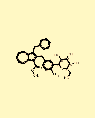 COC(=O)c1c2cccccc-2c(Cc2ccccc2)c1Cc1ccc(C)c([C@@H]2O[C@H](CO)[C@@H](O)[C@H](O)[C@@H]2O)c1